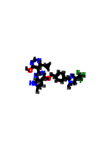 COc1ncnc(C2CC2)c1-c1nc(OCc2ccc(-c3nc(C(F)(F)F)cn3C)cc2)c2cc(C)[nH]c2n1